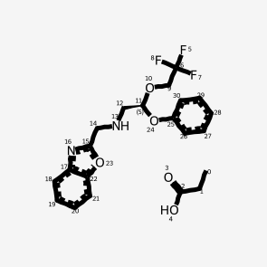 CCC(=O)O.FC(F)(F)CO[C@H](CNCc1nc2ccccc2o1)Oc1ccccc1